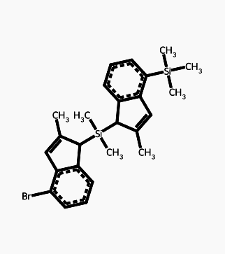 CC1=Cc2c(Br)cccc2C1[Si](C)(C)C1C(C)=Cc2c1cccc2[Si](C)(C)C